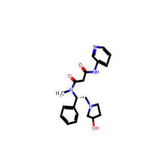 CN(C(=O)CC(=O)Nc1cccnc1)[C@H](CN1CCC(O)C1)c1ccccc1